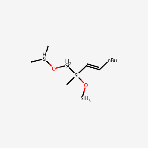 CCCCC=C[Si](C)(O[SiH3])[SiH2]O[SiH](C)C